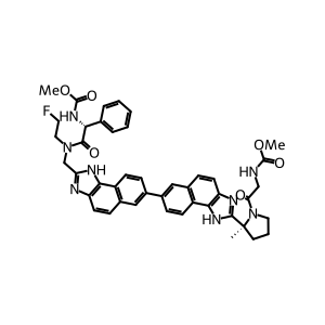 COC(=O)NCC(=O)N1CCC[C@@]1(C)c1nc2ccc3cc(-c4ccc5c(ccc6nc(CN(CCF)C(=O)[C@H](NC(=O)OC)c7ccccc7)[nH]c65)c4)ccc3c2[nH]1